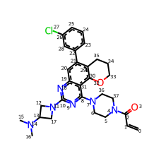 C=CC(=O)N1CCN(c2nc(N3CC(N(C)C)C3)nc3cc(-c4cccc(Cl)c4)c4c(c23)OCCC4)CC1